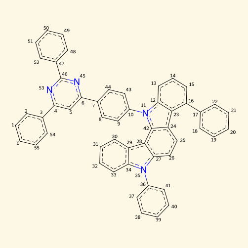 c1ccc(-c2cc(-c3ccc(-n4c5cccc(-c6ccccc6)c5c5ccc6c(c7ccccc7n6-c6ccccc6)c54)cc3)nc(-c3ccccc3)n2)cc1